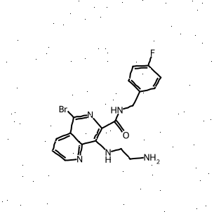 NCCNc1c(C(=O)NCc2ccc(F)cc2)nc(Br)c2cccnc12